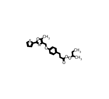 CCC(C)OOC(=O)CCc1ccc(OCc2nc(-c3cccs3)oc2C)cc1